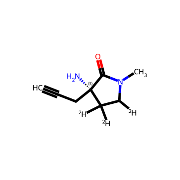 [2H]C1N(C)C(=O)[C@](N)(CC#C)C1([2H])[2H]